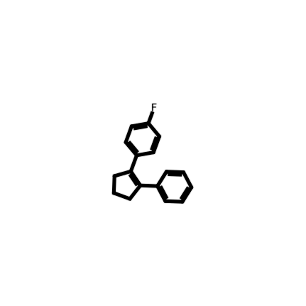 Fc1ccc(C2=C(c3ccccc3)CCC2)cc1